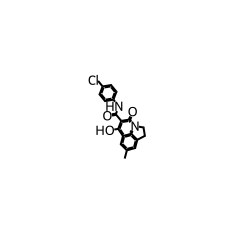 Cc1cc2c3c(c1)c(O)c(C(=O)Nc1ccc(Cl)cc1)c(=O)n3CC2